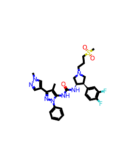 Cc1c(-c2cnn(C)c2)nn(-c2ccccc2)c1NC(=O)N[C@@H]1CN(CCCS(C)(=O)=O)C[C@H]1c1ccc(F)c(F)c1